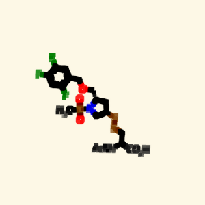 CC(=O)N[C@@H](CSS[C@@H]1C[C@@H](COCc2cc(F)c(F)cc2F)N(S(C)(=O)=O)C1)C(=O)O